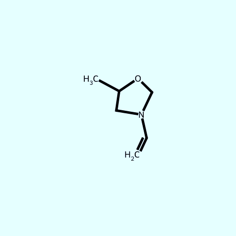 C=CN1COC(C)C1